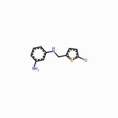 Nc1cccc(NCc2ccc(Cl)s2)c1